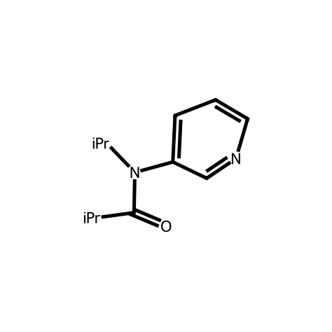 CC(C)C(=O)N(c1cccnc1)C(C)C